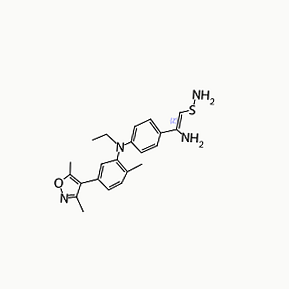 CCN(c1ccc(/C(N)=C/SN)cc1)c1cc(-c2c(C)noc2C)ccc1C